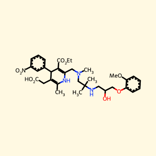 CCOC(=O)C1=C(CN(C)CC(C)(C)NCC(O)COc2ccccc2OC)NC(C)=C(CC(=O)O)C1c1cccc([N+](=O)[O-])c1